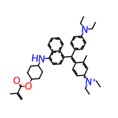 C=C(C)C(=O)OC1CCC(Nc2ccc(/C(=C3\C=CC(=[N+](CC)CC)C=C3C)c3ccc(N(CC)CC)cc3)c3ccccc23)CC1